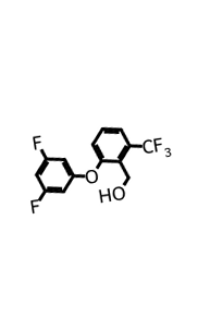 OCc1c(Oc2cc(F)cc(F)c2)cccc1C(F)(F)F